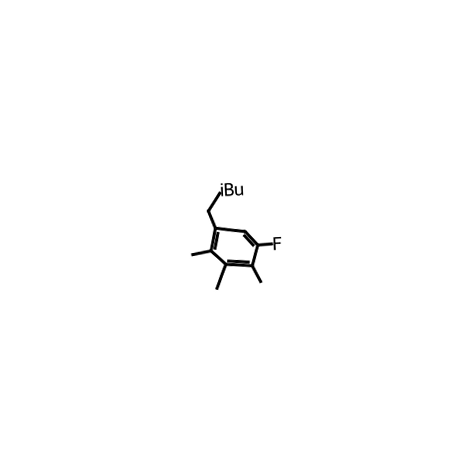 CCC(C)Cc1cc(F)c(C)c(C)c1C